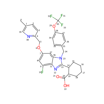 Cc1ccc(COc2cc(F)c3nc(C4CCCCC4C(=O)O)n(Cc4ccc(OC(F)(F)F)cc4)c3c2)nc1